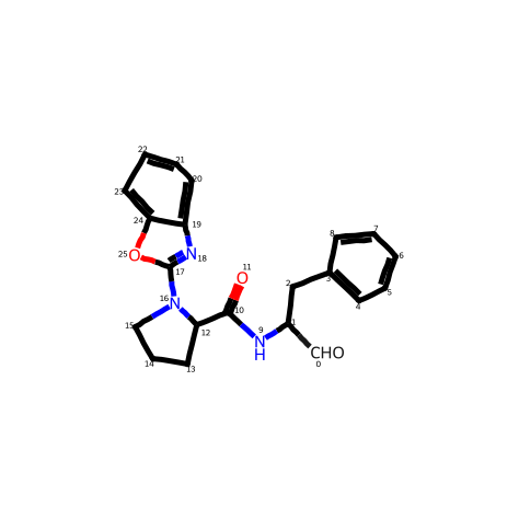 O=CC(Cc1ccccc1)NC(=O)C1CCCN1c1nc2ccccc2o1